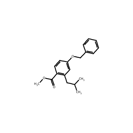 COC(=O)c1ccc(OCc2ccccc2)cc1CC(C)C